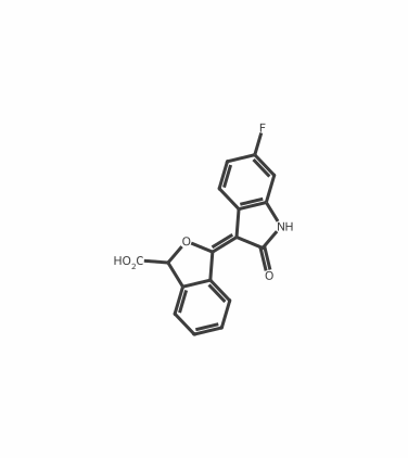 O=C1Nc2cc(F)ccc2/C1=C1\OC(C(=O)O)c2ccccc21